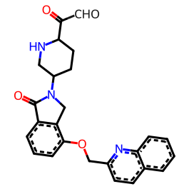 O=CC(=O)C1CCC(N2Cc3c(OCc4ccc5ccccc5n4)cccc3C2=O)CN1